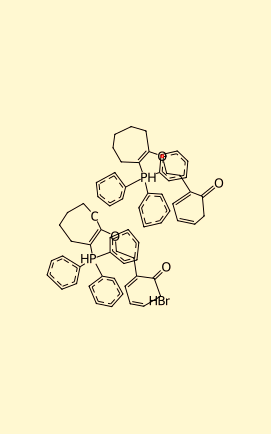 Br.O=C1CC=CC=C1CCOC1=C([PH](c2ccccc2)(c2ccccc2)c2ccccc2)CCCCC1.O=C1CC=CC=C1CCOC1=C([PH](c2ccccc2)(c2ccccc2)c2ccccc2)CCCCC1